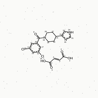 O=C(O)/C=C/C(=O)O.O=C(c1cc(Cl)cc(Cl)c1)N1CCC(c2c[nH]cn2)CC1